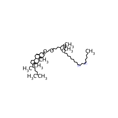 CCCCC/C=C\C/C=C\CCCCCCCCOCC(CCCOCCO[C@H]1CC[C@@]2(C)C(=CCC3C4CCC(C(C)CCCC(C)C)[C@@]4(C)CCC32)C1)CN(C)C